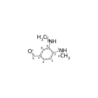 CNc1ccc([C]=O)cc1NC